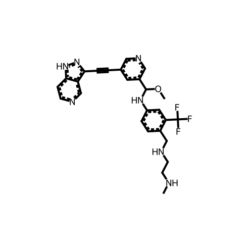 CNCCNCc1ccc(NC(OC)c2cncc(C#Cc3n[nH]c4ccncc34)c2)cc1C(F)(F)F